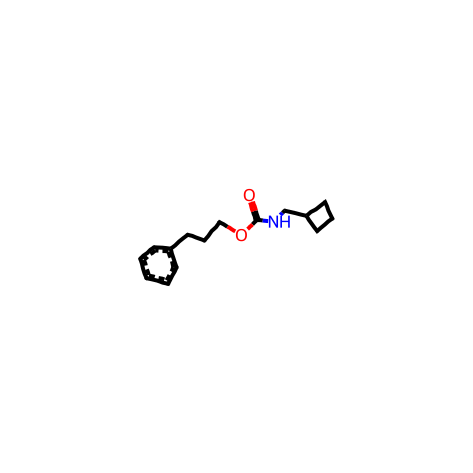 O=C(NCC1CCC1)OCCCc1ccccc1